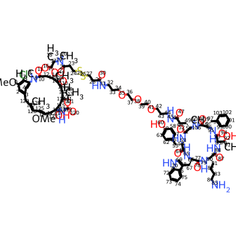 COc1cc2cc(c1Cl)N(C)C(=O)C[C@H](OC(=O)[C@H](C)N(C)C(=O)CCSSCCC(=O)NCCCOCCOCCOCCCNC(=O)CC[C@H]1C(=O)N[C@@H](Cc3ccc(O)cc3)C(=O)N[C@H](Cc3c[nH]c4ccccc34)C(=O)N[C@@H](CCCCN)C(=O)N[C@@H]([C@@H](C)O)C(=O)N[C@@H](Cc3ccccc3)C(=O)N1C)[C@]1(C)O[C@H]1[C@H](C)[C@@H]1C[C@@](O)(NC(=O)O1)[C@H](OC)/C=C/C=C(\C)C2